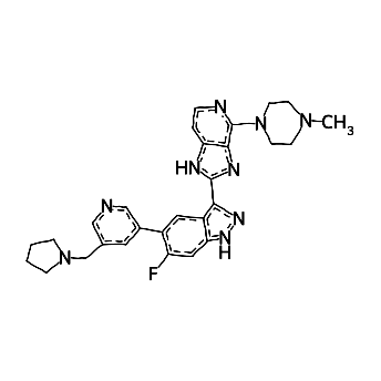 CN1CCN(c2nccc3[nH]c(-c4n[nH]c5cc(F)c(-c6cncc(CN7CCCC7)c6)cc45)nc23)CC1